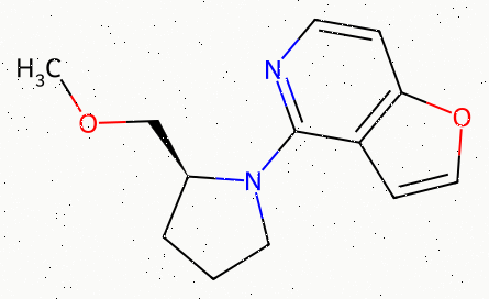 COC[C@@H]1CCCN1c1nccc2occc12